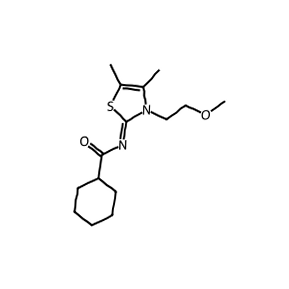 COCCn1c(C)c(C)s/c1=N\C(=O)C1CCCCC1